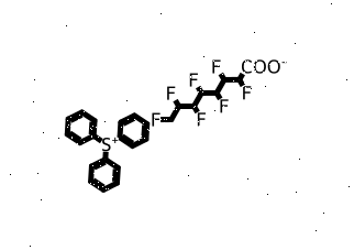 O=C([O-])C(F)C(F)C(F)C(F)C(F)C(F)CF.c1ccc([S+](c2ccccc2)c2ccccc2)cc1